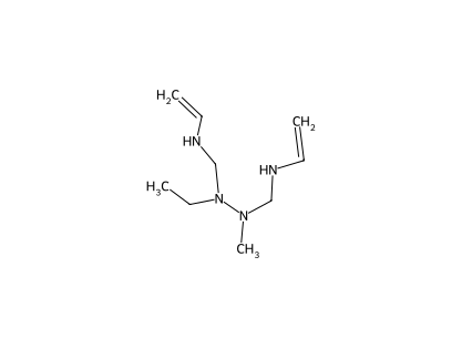 C=CNCN(C)N(CC)CNC=C